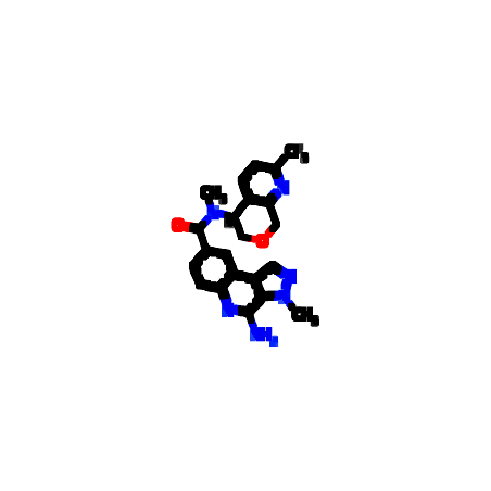 CN(C(=O)c1ccc2nc(N)c3c(cnn3C)c2c1)[C@@H]1COCc2nc(C(F)(F)F)ccc21